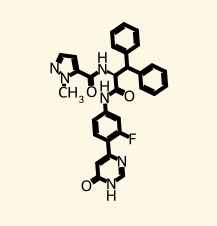 Cn1nccc1C(=O)N[C@H](C(=O)Nc1ccc(-c2cc(=O)[nH]cn2)c(F)c1)C(c1ccccc1)c1ccccc1